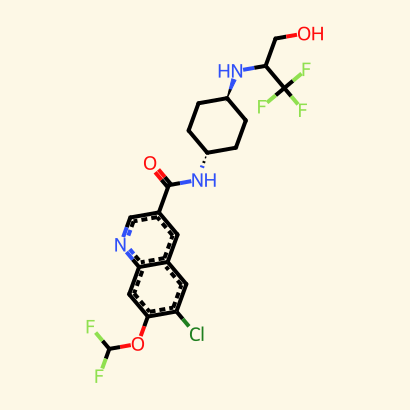 O=C(N[C@H]1CC[C@H](NC(CO)C(F)(F)F)CC1)c1cnc2cc(OC(F)F)c(Cl)cc2c1